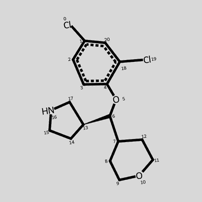 Clc1ccc(OC(C2CCOCC2)[C@H]2CCNC2)c(Cl)c1